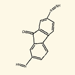 N=Nc1ccc2c(c1)C(=O)c1cc(N=N)ccc1-2